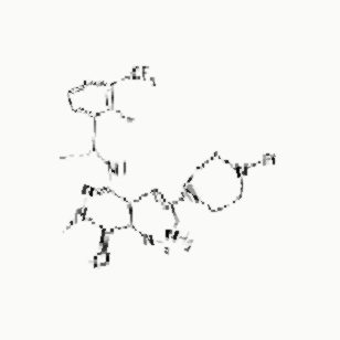 CC(C)N1CCN(/C(N)=C/c2c(N[C@H](C)c3cccc(C(F)(F)F)c3F)nn(C)c(=O)c2N)CC1